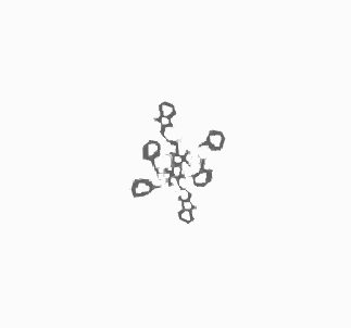 O=C1C(=CC2=CC3C(S2)C2=C(c4sc(C=C5C(=O)c6ccccc6C5=O)cc4C2(C(=O)OCc2ccccc2)C(=O)OCc2ccccc2)C3(C(=O)OCc2ccccc2)C(=O)OCc2ccccc2)C(=O)c2ccccc21